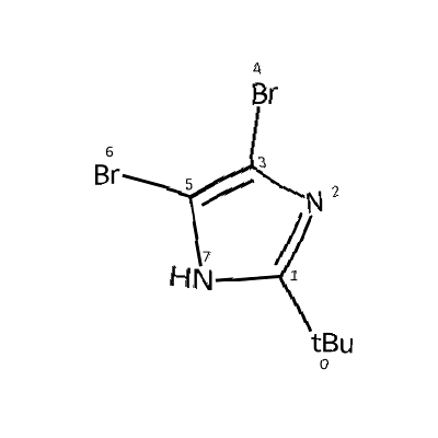 CC(C)(C)c1nc(Br)c(Br)[nH]1